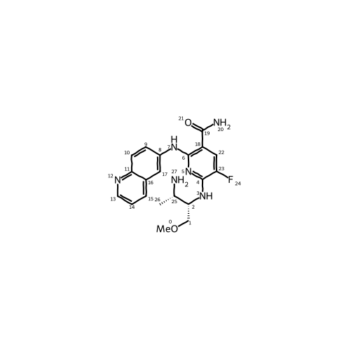 COC[C@@H](Nc1nc(Nc2ccc3ncccc3c2)c(C(N)=O)cc1F)[C@H](C)N